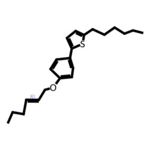 CCC/C=C/COc1ccc(-c2ccc(CCCCCC)s2)cc1